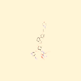 Cc1c(OCCCN2CCC(O)CC2)cccc1-c1cccc2c1CC[C@@H]2Oc1cc(OCc2cncc(C#N)c2)c(CN[C@H](C(=O)NS(C)(=O)=O)[C@@H](C)O)cc1Cl